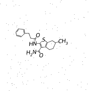 CC1CCc2c(sc(NC(=O)CCc3ccccc3)c2C(N)=O)C1